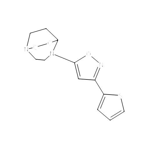 c1csc(-c2cc(N3CCN4CCC3CC4)on2)c1